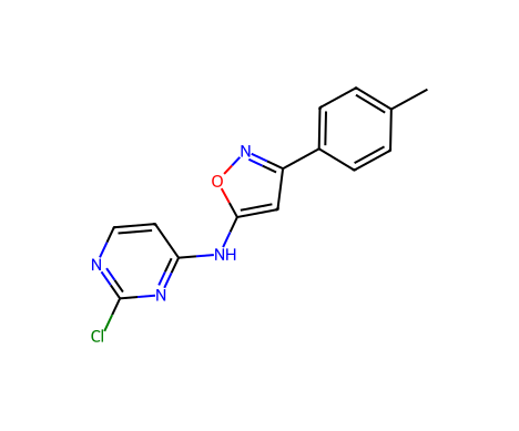 Cc1ccc(-c2cc(Nc3ccnc(Cl)n3)on2)cc1